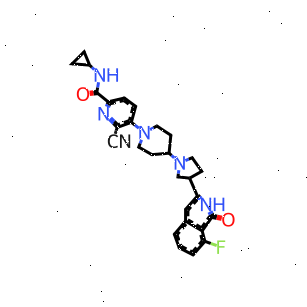 N#Cc1nc(C(=O)NC2CC2)ccc1N1CCC(N2CCC(c3cc4cccc(F)c4c(=O)[nH]3)C2)CC1